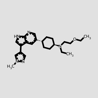 CCOCCN(CC)[C@H]1CC[C@H](c2cnc3[nH]cc(-c4cnn(C)c4)c3c2)CC1